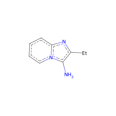 CCc1nc2ccccn2c1N